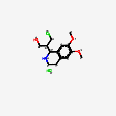 COc1cc2c(cc1OC)C(C(CO)CCl)NCC2.Cl